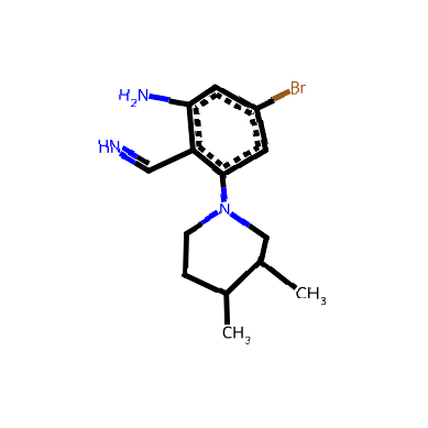 CC1CCN(c2cc(Br)cc(N)c2C=N)CC1C